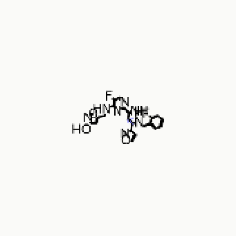 N=C(/C=C(\NCc1ccccc1F)c1ccon1)c1ncc(F)c(NCc2cc(O)no2)n1